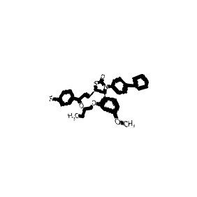 CCCCOc1cc(OC)ccc1[C@@H]1[C@@H](/C=C/C(=O)c2ccc(F)cc2)SC(=O)N1c1ccc(-c2ccccc2)cc1